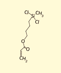 C=CC(=O)OCCCC[Si](C)(Cl)Cl